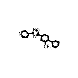 FC(F)(F)c1cc(-c2nc(-c3ccncc3)no2)ccc1-c1ccccc1